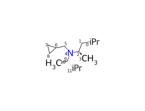 CC(C)C[C@@H](C)N(CC1CC1)[C@@H](C)C(C)C